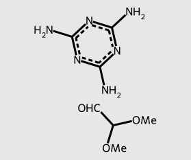 COC(C=O)OC.Nc1nc(N)nc(N)n1